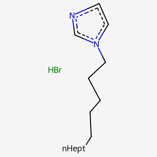 Br.CCCCCCCCCCCCn1ccnc1